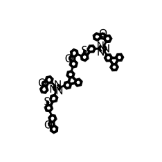 c1ccc2c(c1)oc1cc(-c3ccc4sc5cc(-c6nc(-c7ccc8c9ccccc9c9cc(-c%10ccc%11c(c%10)oc%10cccc(-c%12cccc%13c%12sc%12ccc(-c%14nc(-c%15ccc%16c%17ccccc%17c%17ccccc%17c%16c%15)nc(-c%15cccc%16oc%17ccccc%17c%15%16)n%14)cc%12%13)c%10%11)ccc9c8c7)nc(-c7cccc8oc9ccccc9c78)n6)ccc5c4c3)ccc12